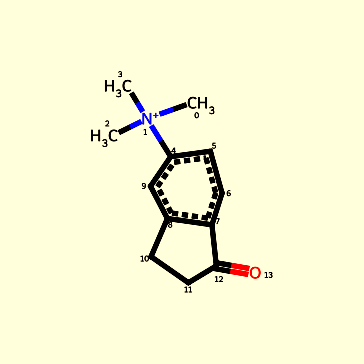 C[N+](C)(C)c1ccc2c(c1)CCC2=O